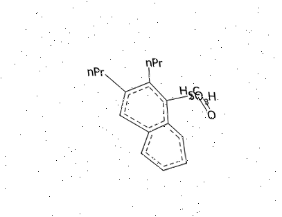 C=O.CCCc1cc2ccccc2c(S(=O)(=O)O)c1CCC